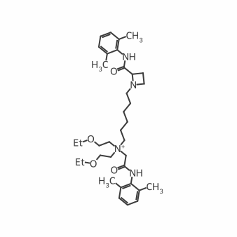 CCOCC[N+](CCCCCCN1CCC1C(=O)Nc1c(C)cccc1C)(CCOCC)CC(=O)Nc1c(C)cccc1C